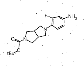 CC(C)(C)OC(=O)N1CC2CN(c3ccc(N)cc3F)CC2C1